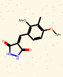 CCCOc1ccc(C=C2C(=O)NNC2=O)c(OC)c1C